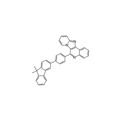 CC1(C)c2ccccc2-c2cc(-c3ccc(-c4nc5ccccc5c5nc6ccccn6c45)cc3)ccc21